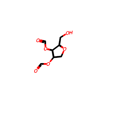 O=COC1COC(CO)C1OC=O